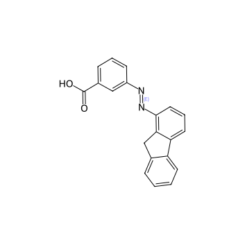 O=C(O)c1cccc(/N=N/c2cccc3c2Cc2ccccc2-3)c1